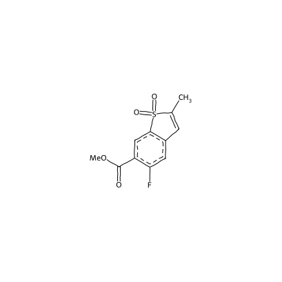 COC(=O)c1cc2c(cc1F)C=C(C)S2(=O)=O